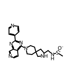 C[S+]([O-])NCC1CC2(CCN(c3nc(-c4ccncc4)nc4cnccc34)CC2)CN1